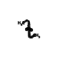 CCCCC/C=C\C/C=C\CCCCCCCCC(OC=O)C(CCCCCCCC/C=C\C/C=C\CCCCC)OC=O